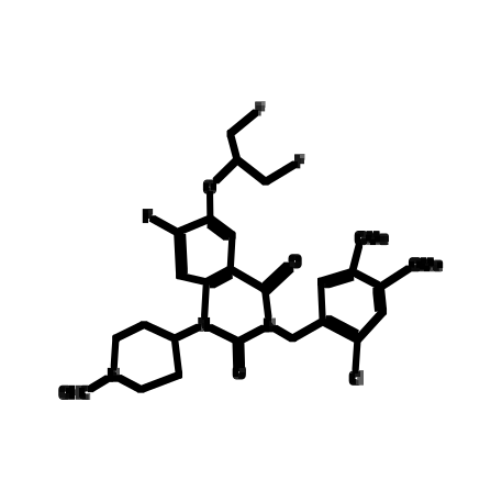 COc1cc(Cl)c(Cn2c(=O)c3cc(OC(CF)CF)c(F)cc3n(C3CCN(C=O)CC3)c2=O)cc1OC